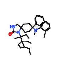 CCC1CCC1(CC)C(C)(CC)N1C(=O)NCC12CCC(c1ccccc1)(N(C)c1ccccc1C)CC2